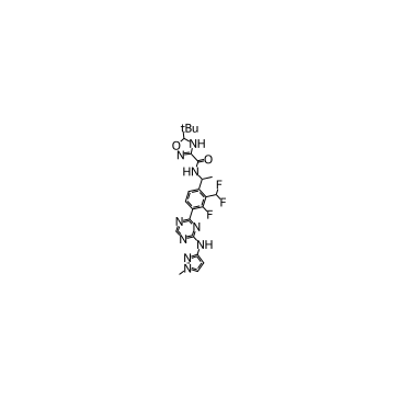 CC(NC(=O)C1=NOC(C(C)(C)C)N1)c1ccc(-c2ncnc(Nc3ccn(C)n3)n2)c(F)c1C(F)F